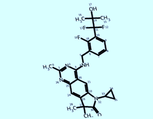 Cc1nc(NCc2cccc(C(F)(F)C(C)(C)O)c2F)c2cc3c(cc2n1)C(C)(C)C(=O)N3C1CC1